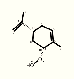 C=C(C)[C@@H]1CC=C(C)[C@H](OO)C1